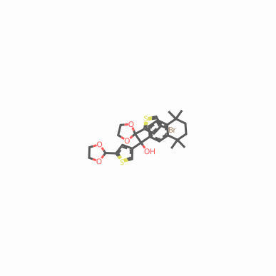 CC1(C)CCC(C)(C)c2cc(C(O)(c3csc(C4OCCO4)c3)C3(c4cc(Br)cs4)OCCO3)ccc21